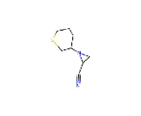 N#CC1CN1C1CCCSC1